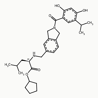 CC(C)C[C@@H](NCc1ccc2c(c1)CN(C(=O)c1cc(C(C)C)c(O)cc1O)C2)C(=O)OC1CCCC1